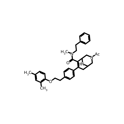 CC(=O)N1CC2CC(c3ccc(CCOc4ccc(C)cc4C)cc3)=C(C(=O)N(C)CCc3ccccc3)C(C1)N2